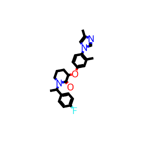 Cc1cn(-c2ccc(OC3CCCN(C(C)c4ccc(F)cc4)C3=O)cc2C)cn1